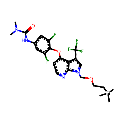 CN(C)C(=O)Nc1cc(F)c(Oc2ccnc3c2c(C(F)(F)F)cn3COCC[Si](C)(C)C)c(F)c1